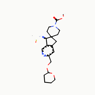 CC(C)(C)OC(=O)N1CCC2(CC1)Cc1cc(COC3CCCCO3)ncc1/C2=N\[S@+]([O-])C(C)(C)C